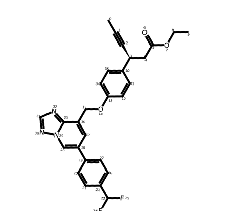 CC#C[C@@H](CC(=O)OCC)c1ccc(OCc2cc(-c3ccc(C(F)F)cc3)cn3ncnc23)cc1